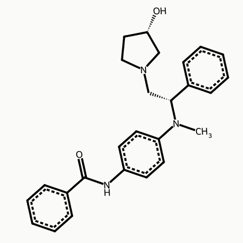 CN(c1ccc(NC(=O)c2ccccc2)cc1)[C@H](CN1CC[C@H](O)C1)c1ccccc1